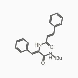 CCC(C)NC(=O)/C(=C/c1ccccc1)NC(=O)/C=C/c1ccccc1